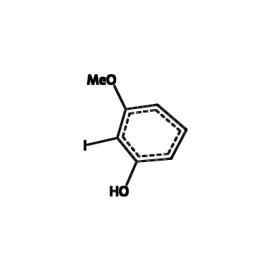 COc1cccc(O)c1I